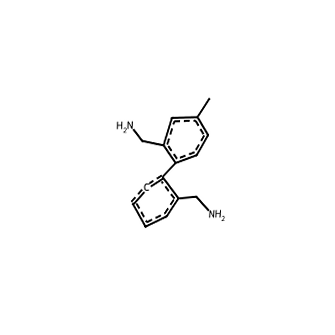 Cc1ccc(-c2ccccc2CN)c(CN)c1